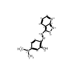 CN(C)c1ccc(/N=N/c2snc3ncccc23)c(O)c1